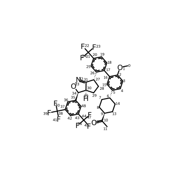 COc1ccc([C@H]2CC[C@H](C(C)=O)CC2)cc1-c1ccc(C(F)(F)F)cc1[C@@H]1CC[C@@H]2C1=NO[C@@H]2c1cc(C(F)(F)F)cc(C(F)(F)F)c1